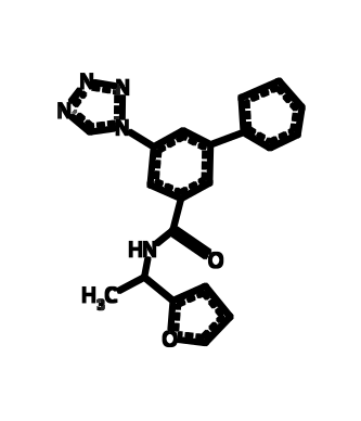 CC(NC(=O)c1cc(-c2ccccc2)cc(-n2cnnn2)c1)c1ccco1